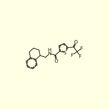 O=C(NCC1CCCc2ccccc21)c1ccc(C(=O)C(F)(F)F)s1